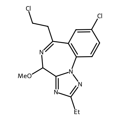 CCc1nc2n(n1)-c1ccc(Cl)cc1C(CCCl)=NC2OC